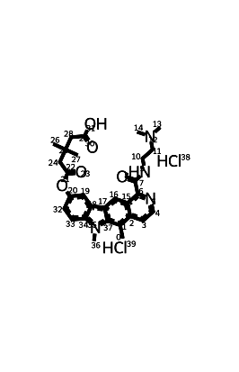 Cc1c2ccnc(C(=O)NCCN(C)C)c2cc2c3cc(OC(=O)CC(C)(C)CC(=O)O)ccc3n(C)c12.Cl.Cl